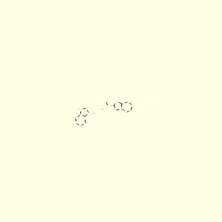 Cc1[nH]c2c(F)ccc(C)c2c1CCNC(=O)c1cc2ccc(OC(=O)O)cc2[nH]1